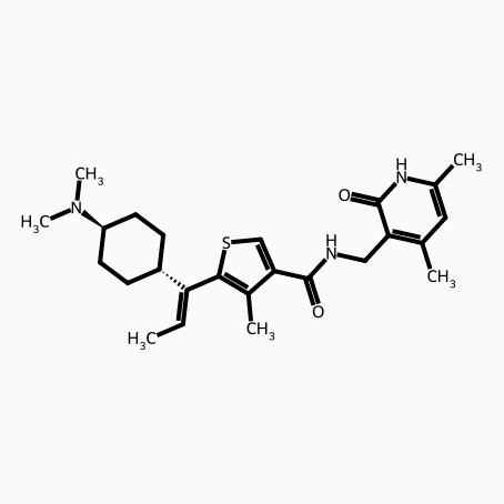 CC=C(c1scc(C(=O)NCc2c(C)cc(C)[nH]c2=O)c1C)[C@H]1CC[C@H](N(C)C)CC1